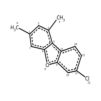 Cc1cc(C)c2c(c1)oc1cc(Cl)ccc12